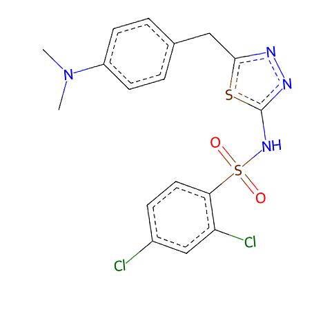 CN(C)c1ccc(Cc2nnc(NS(=O)(=O)c3ccc(Cl)cc3Cl)s2)cc1